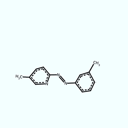 Cc1[c]ccc(N=Nc2ccc(C)cn2)c1